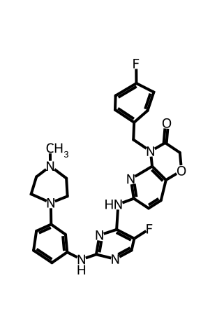 CN1CCN(c2cccc(Nc3ncc(F)c(Nc4ccc5c(n4)N(Cc4ccc(F)cc4)C(=O)CO5)n3)c2)CC1